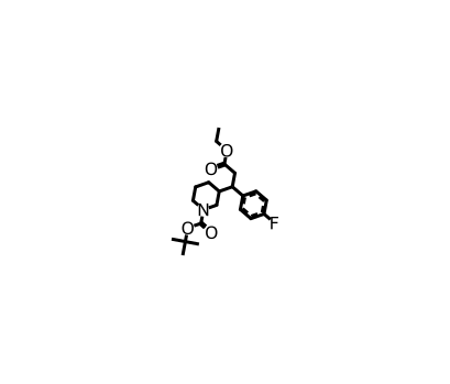 CCOC(=O)CC(c1ccc(F)cc1)C1CCCN(C(=O)OC(C)(C)C)C1